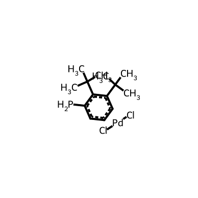 CC(C)(C)c1cccc(P)c1C(C)(C)C.[Cl][Pd][Cl]